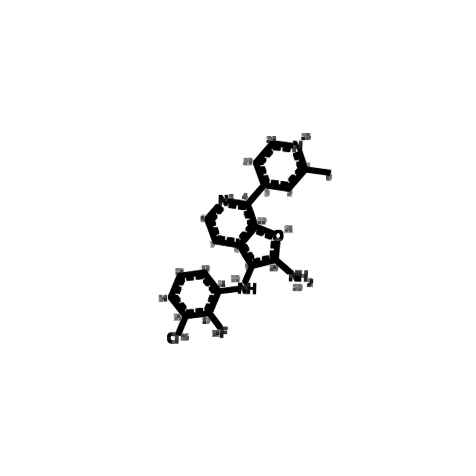 Cc1cc(-c2nccc3c(Nc4cccc(Cl)c4F)c(N)oc23)ccn1